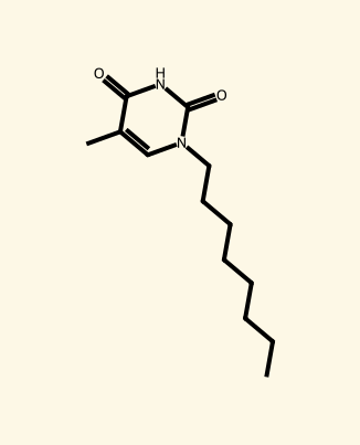 CCCCCCCCn1cc(C)c(=O)[nH]c1=O